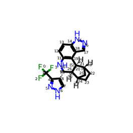 FC(F)(F)c1n[nH]cc1[C@@H]1Nc2ccc3[nH]ncc3c2[C@H]2[C@@H]3CC[C@@H](C3)[C@H]21